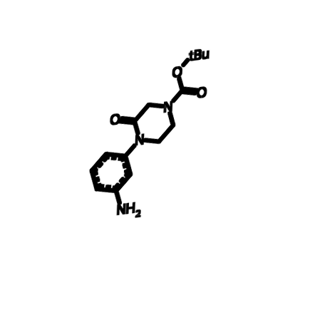 CC(C)(C)OC(=O)N1CCN(c2cccc(N)c2)C(=O)C1